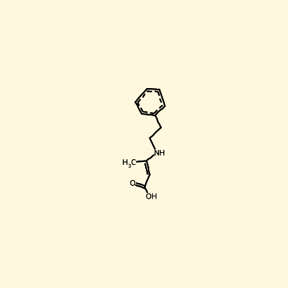 C/C(=C\C(=O)O)NCCc1ccccc1